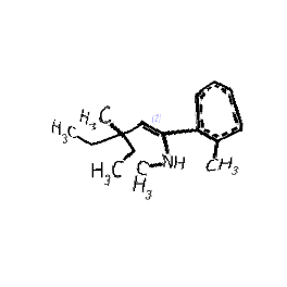 CCC(C)(/C=C(\NC)c1ccccc1C)CC